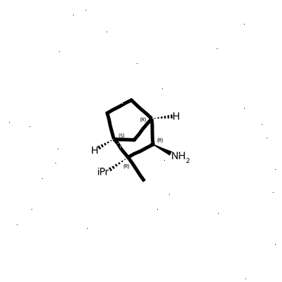 CC(C)[C@]1(C)[C@H]2CC[C@H](C2)[C@H]1N